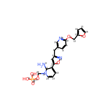 NC1C(c2cc(Cc3ccc(OCc4ccco4)nc3)no2)=CC=CN1COP(=O)(O)O